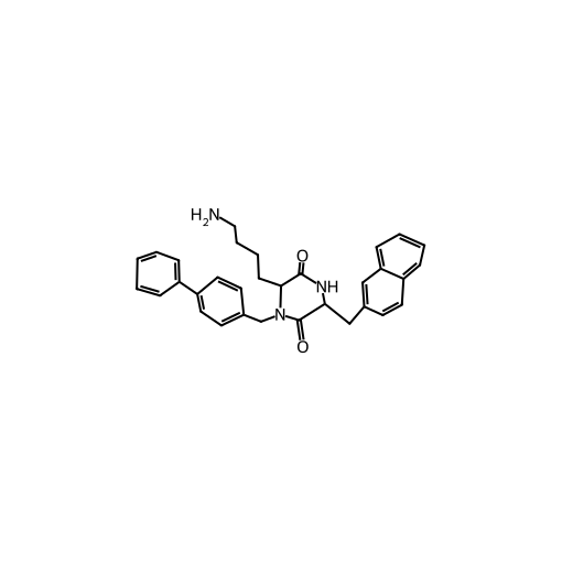 NCCCCC1C(=O)NC(Cc2ccc3ccccc3c2)C(=O)N1Cc1ccc(-c2ccccc2)cc1